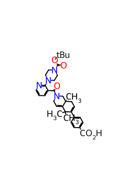 CC(C)(C)OC(=O)N1CCN(c2ncccc2C(=O)N2CC=C3C(C)(C)C(c4ccc(C(=O)O)cc4)=CC[C@]3(C)C2)CC1